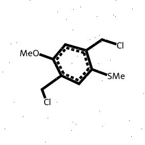 COc1cc(CCl)c(SC)cc1CCl